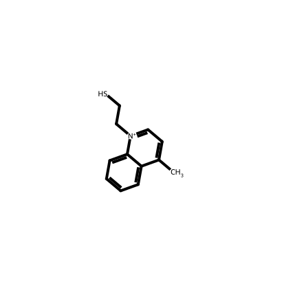 Cc1cc[n+](CCS)c2ccccc12